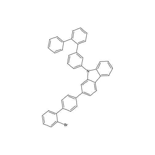 Brc1ccccc1-c1ccc(-c2ccc3c4ccccc4n(-c4cccc(-c5ccccc5-c5ccccc5)c4)c3c2)cc1